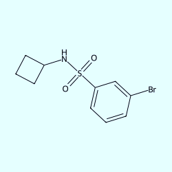 O=S(=O)(NC1CCC1)c1cccc(Br)c1